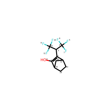 OC1=C(C(C(F)(F)F)C(F)(F)F)C2CCC1C2